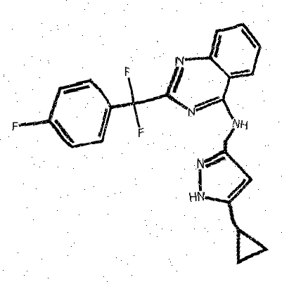 Fc1ccc(C(F)(F)c2nc(Nc3cc(C4CC4)[nH]n3)c3ccccc3n2)cc1